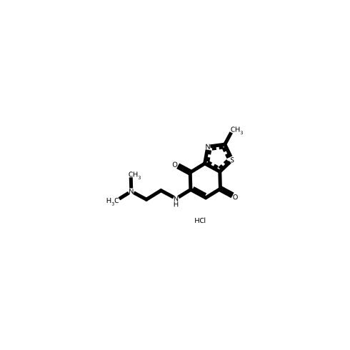 Cc1nc2c(s1)C(=O)C=C(NCCN(C)C)C2=O.Cl